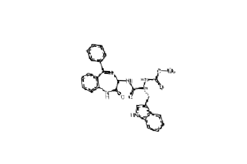 CC(C)(C)OC(=O)N[C@H](Cc1c[nH]c2ccccc12)C(=O)NC1N=C(c2ccccc2)c2ccccc2NC1=O